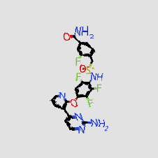 NC(=O)c1ccc(C[S+]([O-])Nc2c(F)cc(Oc3ncccc3-c3ccnc(N)n3)c(F)c2F)c(F)c1